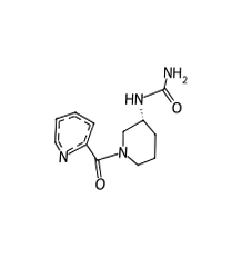 NC(=O)N[C@@H]1CCCN(C(=O)c2ccccn2)C1